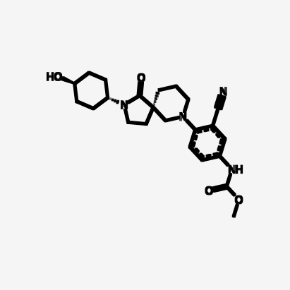 COC(=O)Nc1ccc(N2CCC[C@@]3(CCN([C@H]4CC[C@H](O)CC4)C3=O)C2)c(C#N)c1